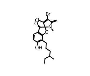 C=C1C(Br)=C(Cl)C2(Oc3c(ccc(O)c3CCCC(C)CC)C2=O)N1C